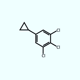 Clc1cc([C]2CC2)cc(Cl)c1Cl